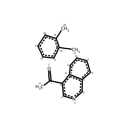 CC(=O)c1cncc2ccccc12.Cc1ccccc1C